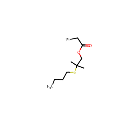 CC(C)CC(=O)OCC(C)(C)SCCCC(F)(F)F